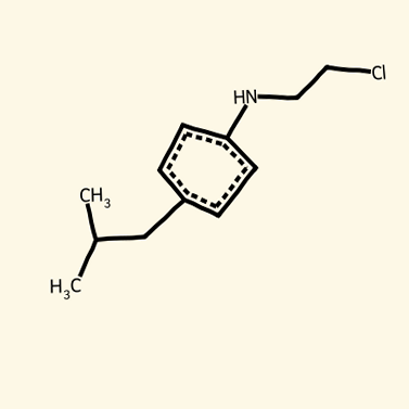 CC(C)Cc1ccc(NCCCl)cc1